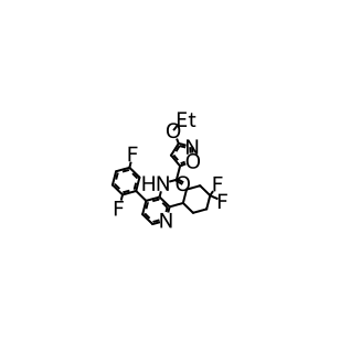 CCOc1cc(C(=O)Nc2c(-c3cc(F)ccc3F)ccnc2C2CCC(F)(F)CC2)on1